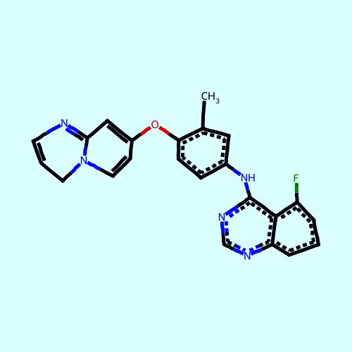 Cc1cc(Nc2ncnc3cccc(F)c23)ccc1OC1=CC2=NC=CCN2C=C1